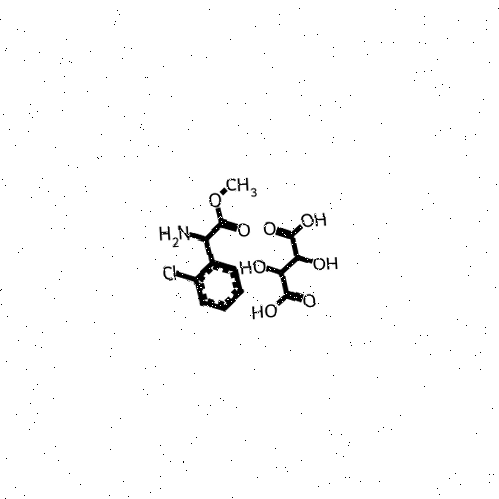 COC(=O)C(N)c1ccccc1Cl.O=C(O)C(O)C(O)C(=O)O